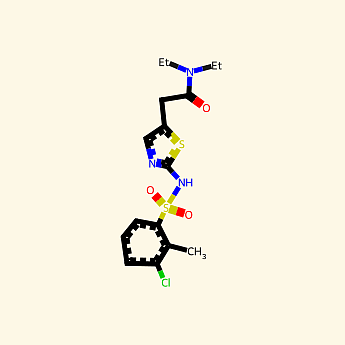 CCN(CC)C(=O)Cc1cnc(NS(=O)(=O)c2cccc(Cl)c2C)s1